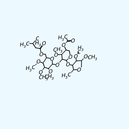 COC1COC(C)C(OC2OCC(OC(C)=O)C(OC)C2OC2OC(COC(=O)CC(C)C)C(OC)C(OC)C2OC)C1OC